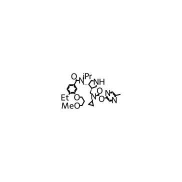 CCc1ccc(C(=O)N(C[C@@H]2CNC[C@H]2CN(C(=O)Oc2cnc(C)cn2)C2CC2)C(C)C)cc1OCCCOC